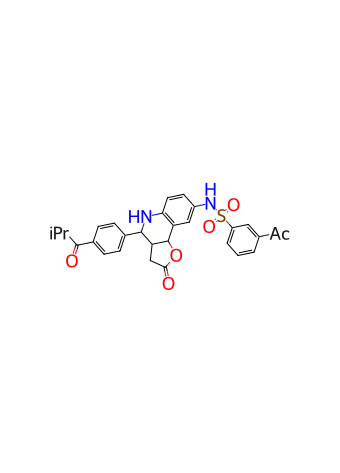 CC(=O)c1cccc(S(=O)(=O)Nc2ccc3c(c2)C2OC(=O)CC2C(c2ccc(C(=O)C(C)C)cc2)N3)c1